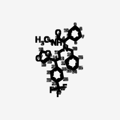 CNC(=O)[C@@H](c1ccccc1)N(CCC(C1=COCO1)c1ccc(C(F)(F)F)cc1)Cc1ccccc1